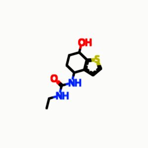 CCNC(=O)NC1CCC(O)c2sccc21